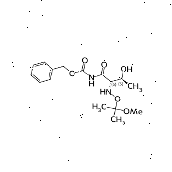 COC(C)(C)ON[C@H](C(=O)NC(=O)OCc1ccccc1)[C@H](C)O